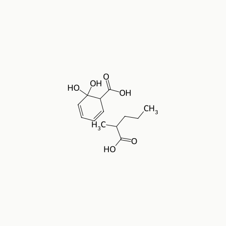 CCCC(C)C(=O)O.O=C(O)C1C=CC=CC1(O)O